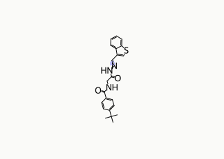 CC(C)(C)c1ccc(C(=O)NCC(=O)N/N=C/c2csc3ccccc23)cc1